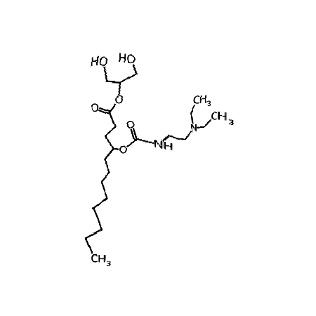 CCCCCCCCC(CCC(=O)OC(CO)CO)OC(=O)NCCN(CC)CC